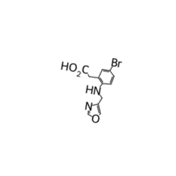 O=C(O)Cc1cc(Br)ccc1NCc1cocn1